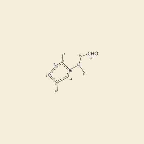 Cc1ccc(C)c(C(C)CC=O)c1